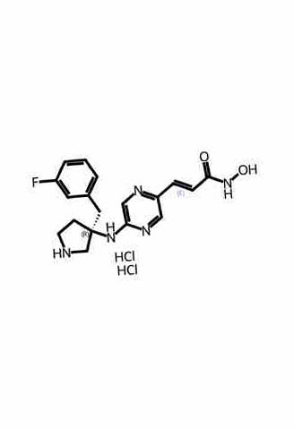 Cl.Cl.O=C(/C=C/c1cnc(N[C@]2(Cc3cccc(F)c3)CCNC2)cn1)NO